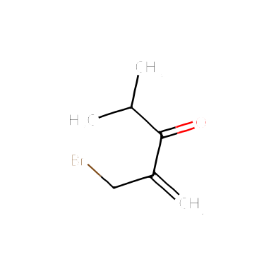 C=C(CBr)C(=O)C(C)C